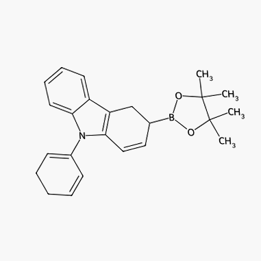 CC1(C)OB(C2C=Cc3c(c4ccccc4n3C3=CCCC=C3)C2)OC1(C)C